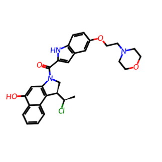 C[C@@H](Cl)[C@@H]1CN(C(=O)c2cc3cc(OCCN4CCOCC4)ccc3[nH]2)c2cc(O)c3ccccc3c21